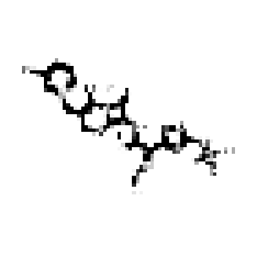 CCO/N=C(\C(=O)NC1C(=O)N2C(C(=O)[O-])=C(C[n+]3cccc(Cl)c3)CS[C@H]12)c1nsc(NP(=O)(O)O)n1